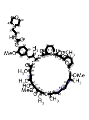 CO[C@H]1C[C@@H]2CC[C@@H](C)[C@@](O)(O2)C(=O)C(=O)N2CCCC[C@H]2C(=O)O[C@H](C(C)C[C@@H]2CC[C@@H](OC(=O)NCCN3CCOCC3)[C@H](OC)C2)CC(=O)[C@H](C)/C=C(\C)[C@@H](O)[C@@H](OC)C(=O)[C@H](C)C[C@H](C)/C=C/C=C/C=C/1C